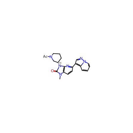 CC(=O)N1CCC[C@H](n2c(=O)n(C)c3ccc(-c4cnn5ccccc45)nc32)C1